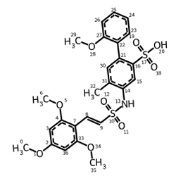 COc1cc(OC)c(C=CS(=O)(=O)Nc2cc(S(=O)(=O)O)c(-c3ccccc3OC)cc2C)c(OC)c1